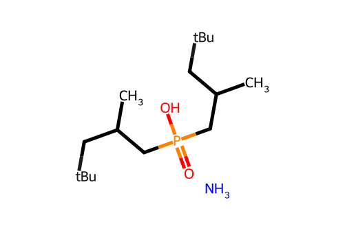 CC(CC(C)(C)C)CP(=O)(O)CC(C)CC(C)(C)C.N